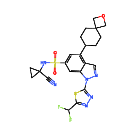 N#CC1(NS(=O)(=O)c2cc(C3CCC4(CC3)COC4)c3cnn(-c4nnc(C(F)F)s4)c3c2)CC1